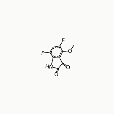 COc1c(F)cc(F)c2c1C(=O)C(=O)N2